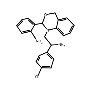 NC(CN1c2ccccc2COC1c1ccccc1[N+](=O)[O-])c1ccc(Cl)cc1